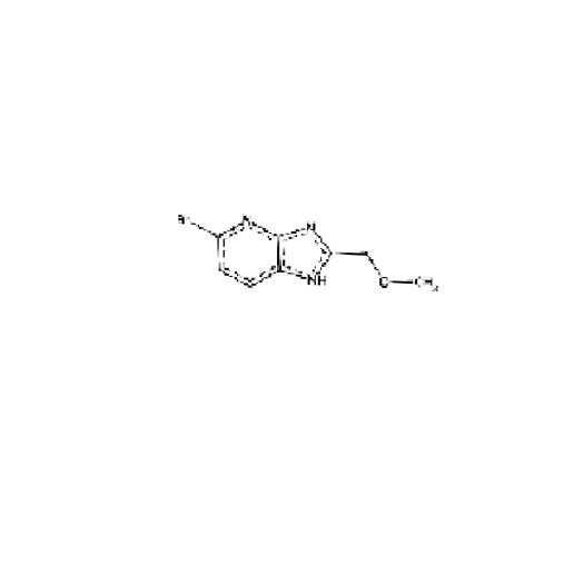 COCc1nc2nc(Br)ccc2[nH]1